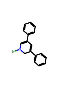 BrN1C=C(c2ccccc2)C=C(c2ccccc2)C1